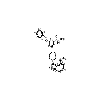 CC[C@@H](C)NC(=O)c1cc(N2CCC(c3n[nH]c4nccc(OC)c34)CC2)nc(OCc2ccccc2)n1